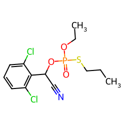 CCCSP(=O)(OCC)OC(C#N)c1c(Cl)cccc1Cl